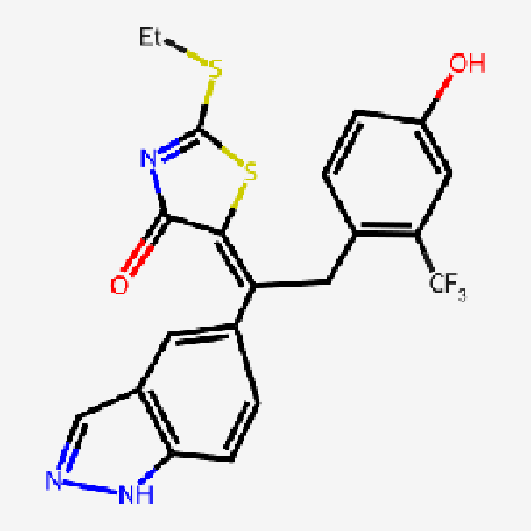 CCSC1=NC(=O)C(=C(Cc2ccc(O)cc2C(F)(F)F)c2ccc3[nH]ncc3c2)S1